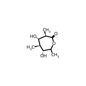 CC1OC(=O)[C@H](C)[C@@H](O)[C@H](C)[C@H]1O